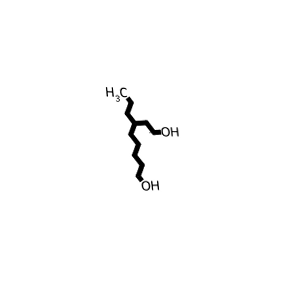 CCCC(C[CH]O)CCCCCO